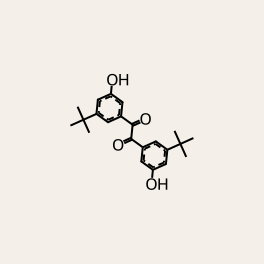 CC(C)(C)c1cc(O)cc(C(=O)C(=O)c2cc(O)cc(C(C)(C)C)c2)c1